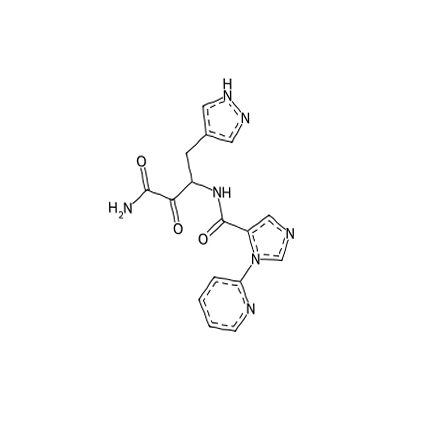 NC(=O)C(=O)C(Cc1cn[nH]c1)NC(=O)c1cncn1-c1ccccn1